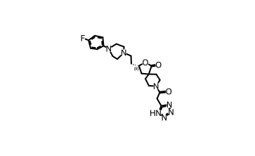 O=C(Cc1nnn[nH]1)N1CCC2(CC1)C[C@H](CCN1CCN(c3ccc(F)cc3)CC1)OC2=O